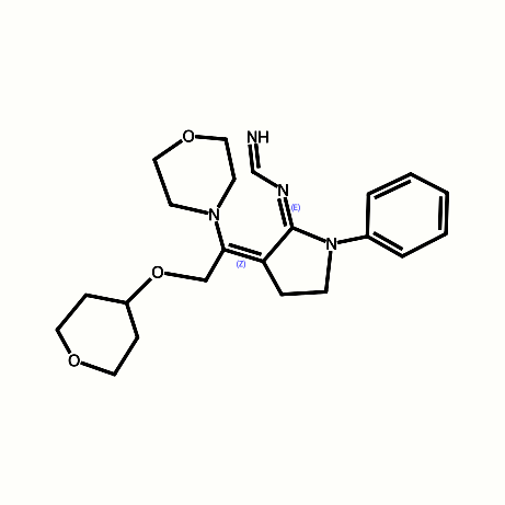 N=C/N=C1\C(=C(\COC2CCOCC2)N2CCOCC2)CCN1c1ccccc1